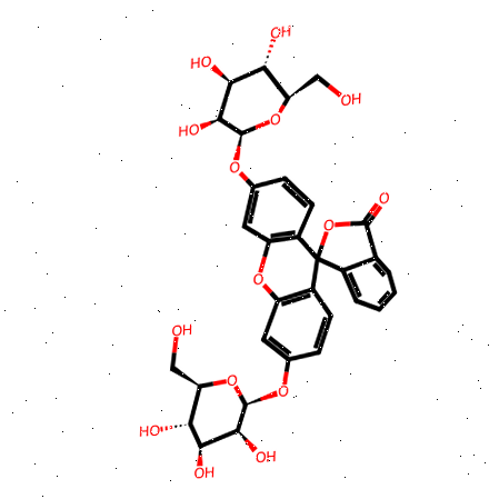 O=C1OC2(c3ccc(O[C@@H]4O[C@H](CO)[C@@H](O)[C@H](O)[C@@H]4O)cc3Oc3cc(O[C@@H]4O[C@H](CO)[C@@H](O)[C@H](O)[C@@H]4O)ccc32)c2ccccc21